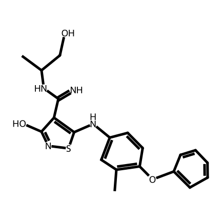 Cc1cc(Nc2snc(O)c2C(=N)NC(C)CO)ccc1Oc1ccccc1